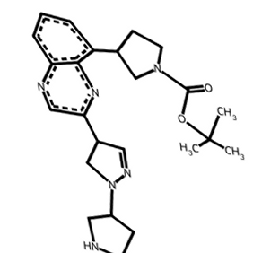 CC(C)(C)OC(=O)N1CCC(c2cccc3ncc(C4C=NN(C5CCNC5)C4)nc23)C1